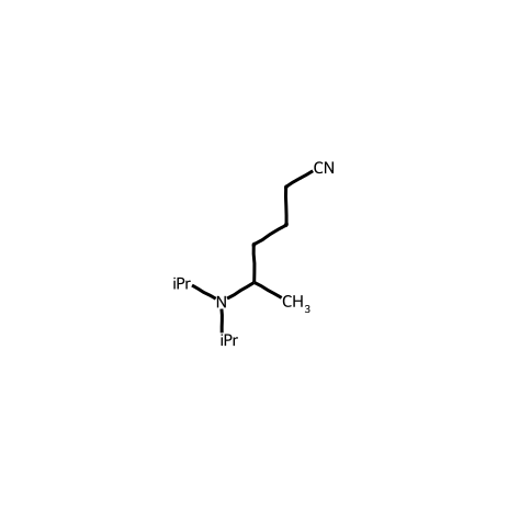 CC(C)N(C(C)C)C(C)CCCC#N